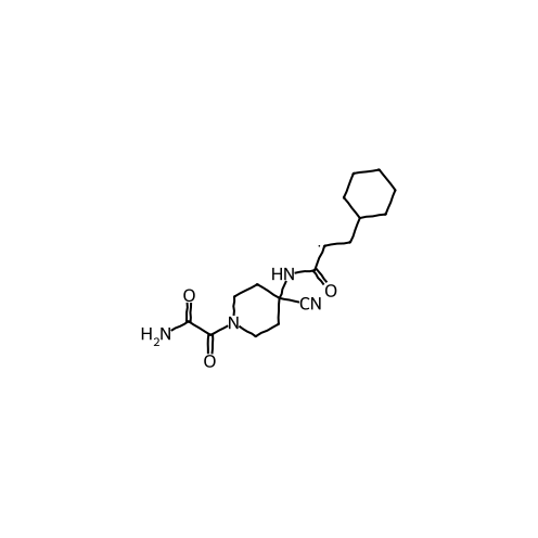 N#CC1(NC(=O)[CH]CC2CCCCC2)CCN(C(=O)C(N)=O)CC1